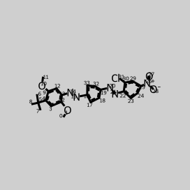 COc1cc(C(C)(C)C)c(OC)cc1N=Nc1ccc(N=Nc2ccc([N+](=O)[O-])cc2Cl)cc1